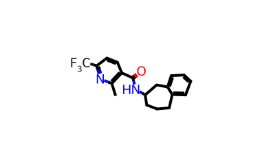 Cc1nc(C(F)(F)F)ccc1C(=O)NC1CCCc2ccccc2C1